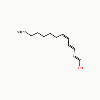 CCCCCCCCCCCC/C=C\C=CC=CO